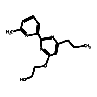 CCCc1cc(OCCO)nc(-c2cccc(C)n2)n1